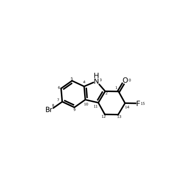 O=C1c2[nH]c3ccc(Br)cc3c2CCC1F